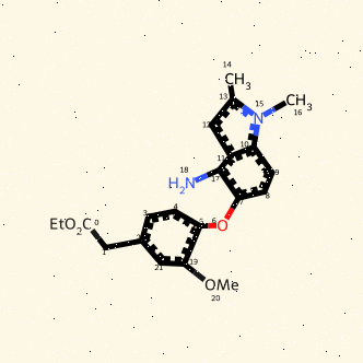 CCOC(=O)Cc1ccc(Oc2ccc3c(cc(C)n3C)c2N)c(OC)c1